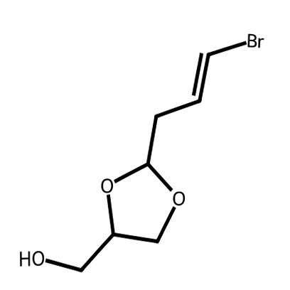 OCC1COC(CC=CBr)O1